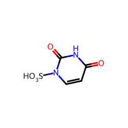 O=c1ccn(S(=O)(=O)O)c(=O)[nH]1